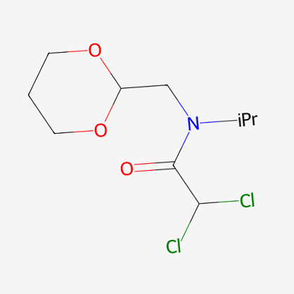 CC(C)N(CC1OCCCO1)C(=O)C(Cl)Cl